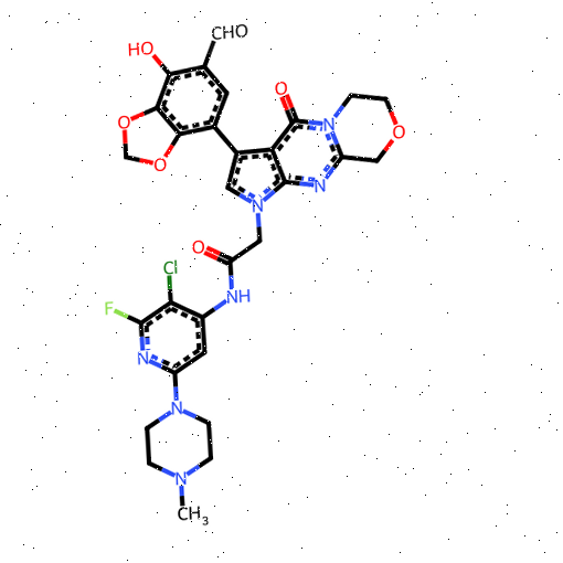 CN1CCN(c2cc(NC(=O)Cn3cc(-c4cc(C=O)c(O)c5c4OCO5)c4c(=O)n5c(nc43)COCC5)c(Cl)c(F)n2)CC1